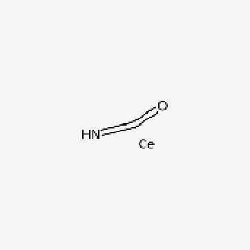 N=C=O.[Ce]